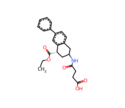 CCOC(=O)[C@H]1CC(NC(=O)CCC(=O)O)Cc2ccc(-c3ccccc3)cc21